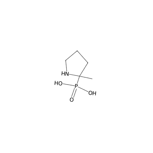 CC1(P(=O)(O)O)CCCN1